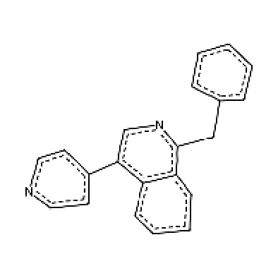 c1ccc(Cc2ncc(-c3ccncc3)c3ccccc23)cc1